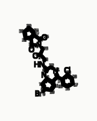 O=C(CNC1=Nc2cc(Br)ccc2C(c2ccccc2Cl)=NC1)CN1C(=O)c2ccccc2C1=O